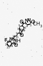 COc1ccc(C(=O)C2CCN(C(=O)CCCc3nc4c(F)cccc4c(=O)[nH]3)CC2)nn1